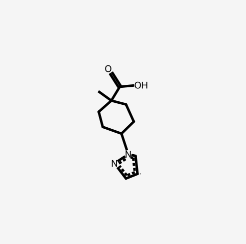 CC1(C(=O)O)CCC(n2c[c]cn2)CC1